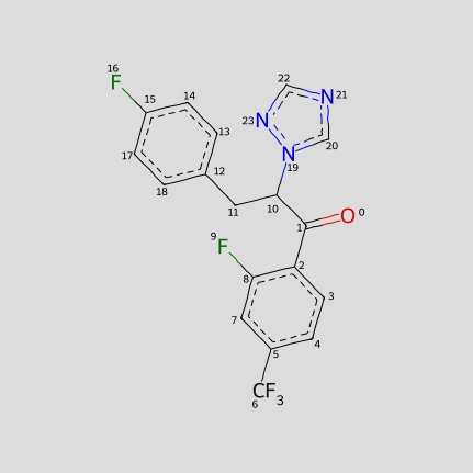 O=C(c1ccc(C(F)(F)F)cc1F)C(Cc1ccc(F)cc1)n1cncn1